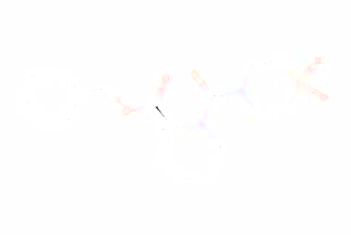 O=C(OCc1ccccc1)[C@@H]1CCCCN1C(=O)N1CCS(=O)(=O)CC1